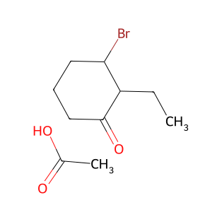 CC(=O)O.CCC1C(=O)CCCC1Br